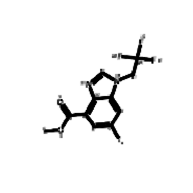 COC(=O)c1cc(I)cc2c1ncn2CC(F)(F)F